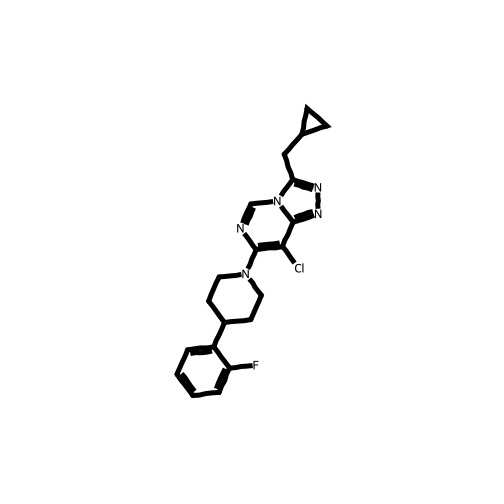 Fc1ccccc1C1CCN(c2ncn3c(CC4CC4)nnc3c2Cl)CC1